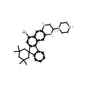 CC1(C)CC(C)(C)CC2(C1)c1ccccc1-c1c2cc(O)c2cc3c(cc12)OC(N1CCOCC1)CO3